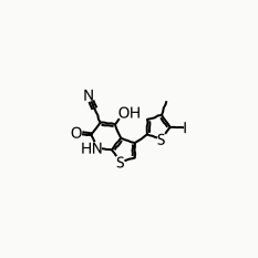 Cc1cc(-c2csc3[nH]c(=O)c(C#N)c(O)c23)sc1I